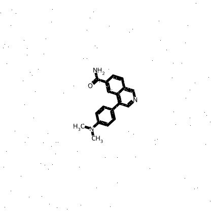 CN(C)c1ccc(-c2cncc3ccc(C(N)=O)cc23)cc1